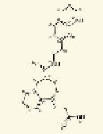 O=C(O)CCC1CCN(C(=O)NCCc2ccc3c(n2)NCCC3)Cc2ccccc21